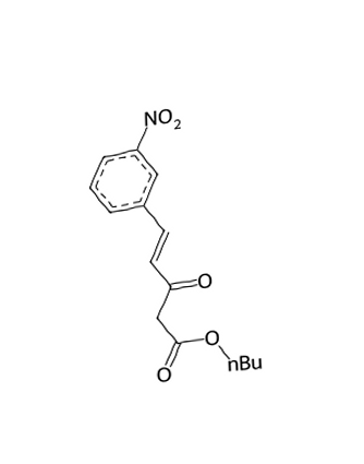 CCCCOC(=O)CC(=O)C=Cc1cccc([N+](=O)[O-])c1